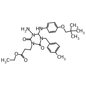 CCOC(=O)CCN1C(=O)N(N)C(Nc2ccc(OCC(C)(C)C)cc2)N(Cc2ccc(C)cc2)C1=O